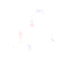 C=C(C)C(=O)NCCN(C)C.C=CC(N)=O